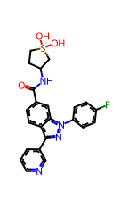 O=C(NC1CCS(O)(O)C1)c1ccc2c(-c3cccnc3)nn(-c3ccc(F)cc3)c2c1